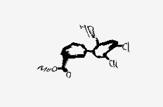 COC(=O)c1cccc(-c2cc(C#N)c(Cl)cc2O)c1